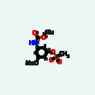 COc1cc(NC(=O)OC(C)(C)C)cc(OS(C)(=O)=O)c1